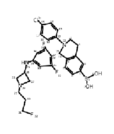 OB(O)c1ccc2c(c1)CCN(c1ccc(Cl)cc1)[C@H]2c1c(F)cc(NC2CN(CCCF)C2)cc1F